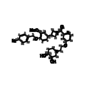 CCc1ccc(COc2ccc(C3CN(C(=O)c4cc(OCCN5CC[C@H](O)[C@H](O)C5)ccn4)C3)cc2OC)cc1